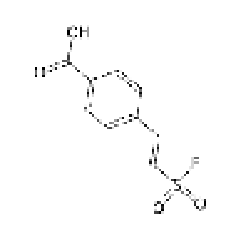 O=C(O)c1ccc(C=CS(=O)(=O)F)cc1